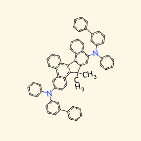 CC1(C)c2cc(N(c3ccccc3)c3cccc(-c4ccccc4)c3)c3ccccc3c2-c2c1c1ccc(N(c3ccccc3)c3cccc(-c4ccccc4)c3)cc1c1ccccc21